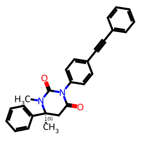 CN1C(=O)N(c2ccc(C#Cc3ccccc3)cc2)C(=O)C[C@@]1(C)c1ccccc1